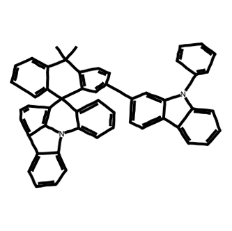 CC1(C)c2ccccc2C2(c3ccccc3-n3c4ccccc4c4cccc2c43)c2cc(-c3ccc4c5ccccc5n(-c5ccccc5)c4c3)ccc21